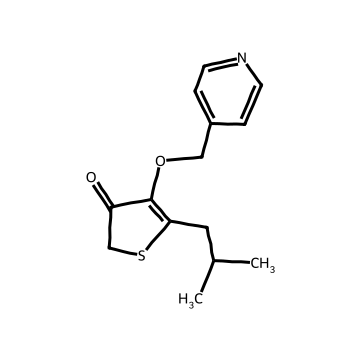 CC(C)CC1=C(OCc2ccncc2)C(=O)CS1